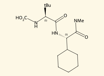 CNC(=O)[C@@H](NC(=O)[C@@H](NC(=O)O)C(C)(C)C)C1CCCCC1